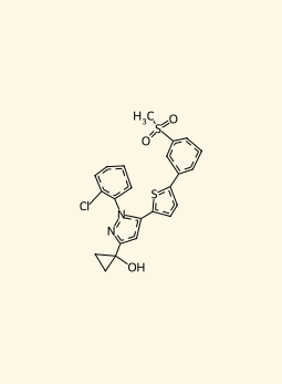 CS(=O)(=O)c1cccc(-c2ccc(-c3cc(C4(O)CC4)nn3-c3ccccc3Cl)s2)c1